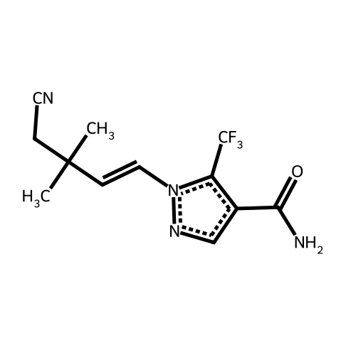 CC(C)(/C=C/n1ncc(C(N)=O)c1C(F)(F)F)CC#N